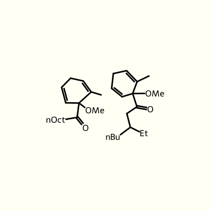 CCCCC(CC)CC(=O)C1(OC)C=CCC=C1C.CCCCCCCCC(=O)C1(OC)C=CCC=C1C